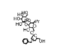 CC(C)C1OC(COC2CN(Cc3ccccc3)CC(CO)O2)C(O)C(OC2OC(CO)C(O)C(O)C2O)C1O